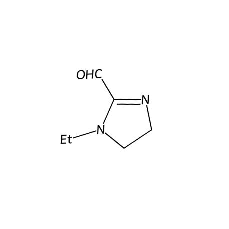 CCN1CCN=C1C=O